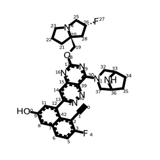 C#Cc1c(F)ccc2cc(O)cc(-c3cc4nc(OC[C@@]56CCCN5C[C@H](F)C6)nc(N5CC6CCC(C5)N6)c4nn3)c12